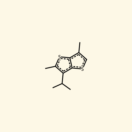 Cc1sc2c(C)csc2c1C(C)C